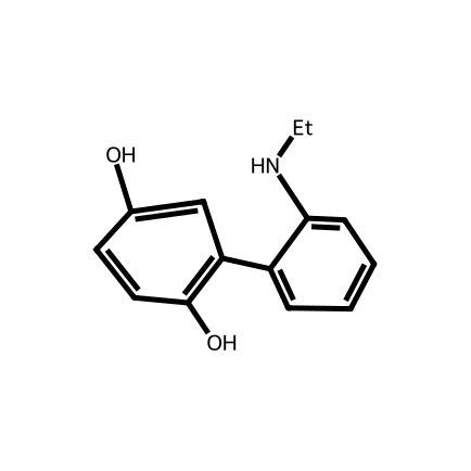 CCNc1ccccc1-c1cc(O)ccc1O